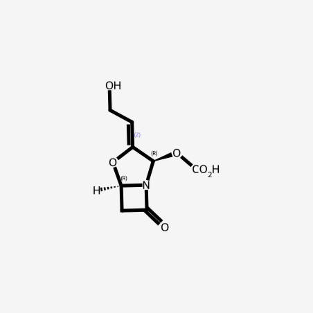 O=C(O)O[C@@H]1/C(=C/CO)O[C@@H]2CC(=O)N12